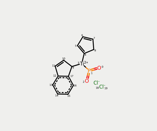 O=[P](=O)[Ti+2]([C]1=CC=CC1)[CH]1C=Cc2ccccc21.[Cl-].[Cl-]